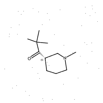 CN1CCC[C@H](C(=O)C(C)(C)C)C1